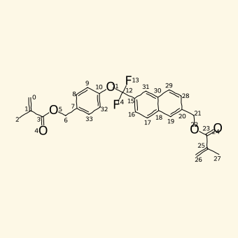 C=C(C)C(=O)OCc1ccc(OC(F)(F)c2ccc3cc(COC(=O)C(=C)C)ccc3c2)cc1